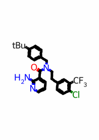 CC(C)(C)c1ccc(CN(CCc2ccc(Cl)c(C(F)(F)F)c2)C(=O)c2cccnc2N)cc1